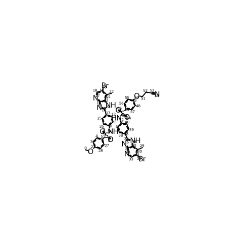 COc1ccc(S(=O)(=O)Nc2ccc(-c3nc4ncc(Br)c(C)c4[nH]3)cc2)cc1.Cc1c(Br)cnc2nc(-c3ccc(NS(=O)(=O)c4ccc(OCCC#N)cc4)cc3)[nH]c12